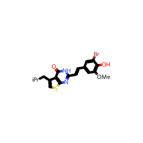 COc1cc(/C=C/c2nc3scc(CC(C)C)c3c(=O)[nH]2)cc(Br)c1O